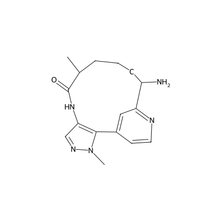 CC1CCCC(N)c2cc(ccn2)-c2c(cnn2C)NC1=O